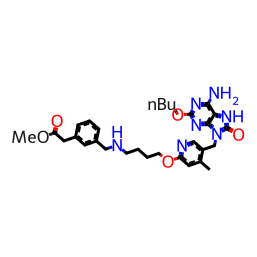 CCCCOc1nc(N)c2[nH]c(=O)n(Cc3cnc(OCCCCNCc4cccc(CC(=O)OC)c4)cc3C)c2n1